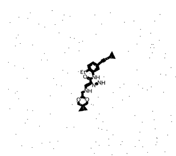 CCc1ccc(C#CC2CC2)cc1NC(=O)/C(=C/NCC1OCC2(CC2)CO1)N=N